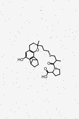 CC(CSCCCC1(C)CCc2cc(O)c3c(c2O1)C1CCC3C1)C(=O)N1CCCC1C(=O)O